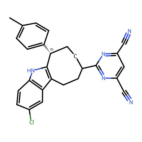 Cc1ccc([C@@H]2CCC(c3nc(C#N)cc(C#N)n3)CCc3c2[nH]c2ccc(Cl)cc32)cc1